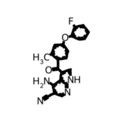 Cc1cc(Oc2ccccc2F)ccc1C(=O)c1c[nH]c2ncc(C#N)c(N)c12